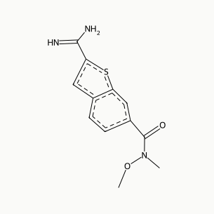 CON(C)C(=O)c1ccc2cc(C(=N)N)sc2c1